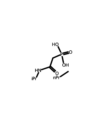 CC(C)NC(=O)CP(=O)(O)O.CCCC